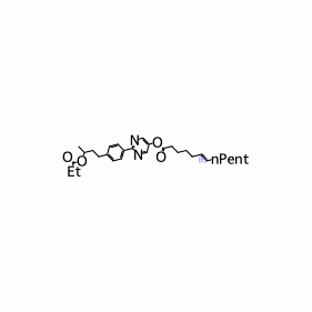 CCCCC/C=C/CCCCC(=O)Oc1cnc(-c2ccc(CCC(C)OC(=O)CC)cc2)nc1